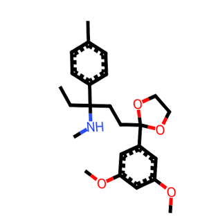 CCC(CCC1(c2cc(OC)cc(OC)c2)OCCO1)(NC)c1ccc(C)cc1